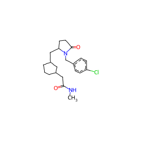 CNC(=O)CC1CCCC(CC2CCC(=O)N2Cc2ccc(Cl)cc2)C1